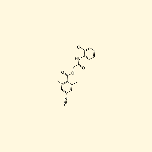 [C-]#[N+]c1cc(C)c(C(=O)OCC(=O)Nc2ccccc2Cl)c(C)c1